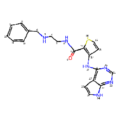 O=C(NCCNCc1ccccc1)c1sccc1Nc1ncnc2[nH]ccc12